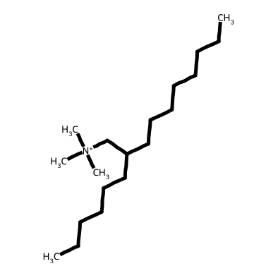 CCCCCCCCC(CCCCCC)C[N+](C)(C)C